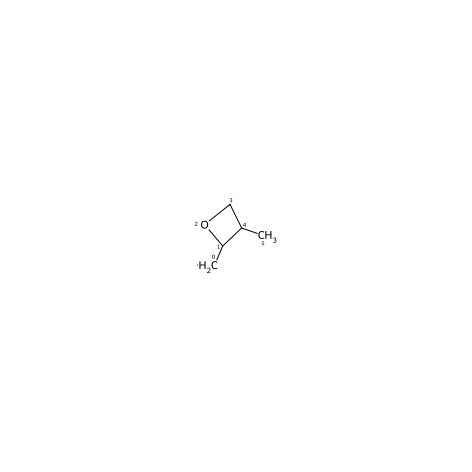 [CH2]C1OCC1C